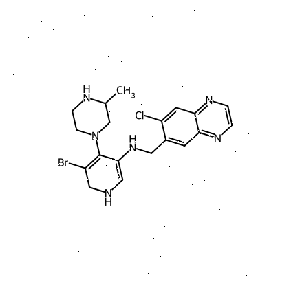 CC1CN(C2=C(Br)CNC=C2NCc2cc3nccnc3cc2Cl)CCN1